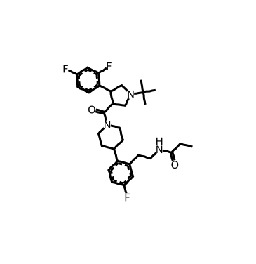 CCC(=O)NCCc1cc(F)ccc1C1CCN(C(=O)C2CN(C(C)(C)C)CC2c2ccc(F)cc2F)CC1